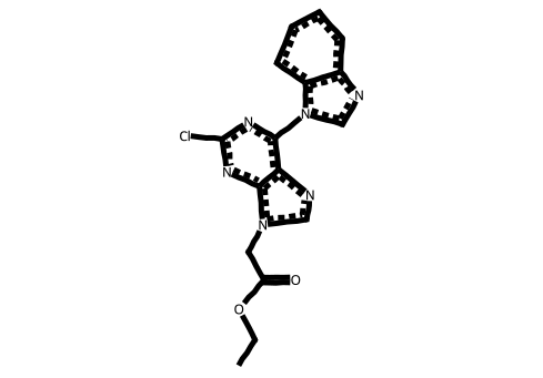 CCOC(=O)Cn1cnc2c(-n3cnc4ccccc43)nc(Cl)nc21